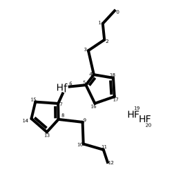 CCCCC1=[C]([Hf][C]2=C(CCCC)C=CC2)CC=C1.F.F